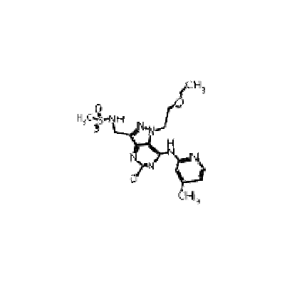 CCOCCn1nc(CNS(C)(=O)=O)c2nc(Cl)nc(Nc3cc(C)ccn3)c21